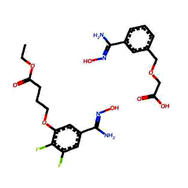 CCOC(=O)CCCOc1cc(C(N)=NO)cc(F)c1F.NC(=NO)c1cccc(COCC(=O)O)c1